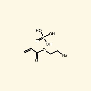 C=CC(=O)OC[CH2][Na].O=P(O)(O)O